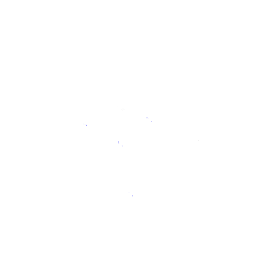 CSc1ccnc(C(C)C)c1N1CN=Cc2cc(Cl)cnc21